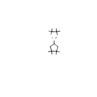 CC1(C)CC(B2OC(C)(C)C(C)(C)O2)CC1(C)C